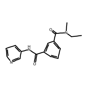 CCN(C)C(=O)c1cccc(C(=O)Nc2cccnc2)c1